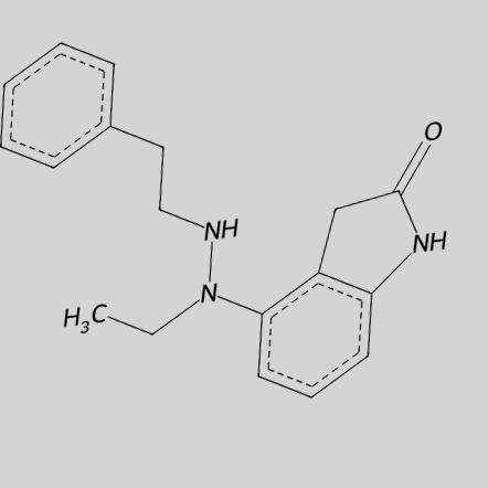 CCN(NCCc1ccccc1)c1cccc2c1CC(=O)N2